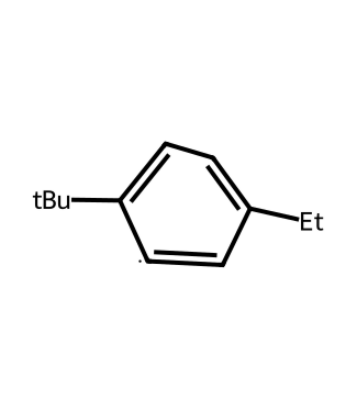 CCc1c[c]c(C(C)(C)C)cc1